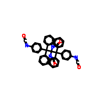 O=C=Nc1ccc(C(c2ccccc2)(c2ccccc2)C(N=C=O)(N=C=O)C(c2ccccc2)(c2ccccc2)c2ccc(N=C=O)cc2)cc1